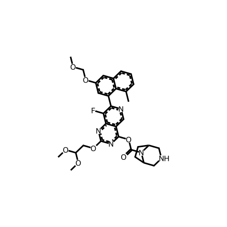 COCOc1cc(-c2ncc3c(OC(=O)N4C5CCC4CNC5)nc(OCC(OC)OC)nc3c2F)c2c(C)cccc2c1